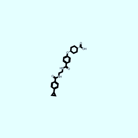 O=C(NCCNC(=O)c1ccc(C2CC2)cc1)c1ccc(O[C@H]2CC[C@@H](C(=O)O)CC2)cc1